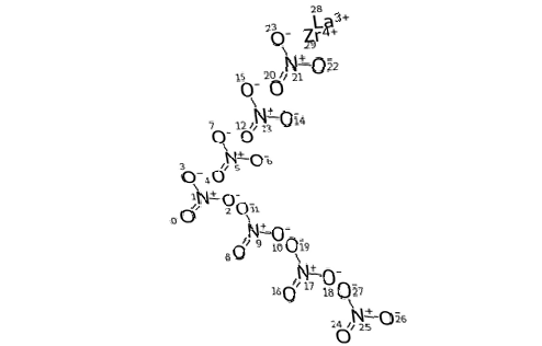 O=[N+]([O-])[O-].O=[N+]([O-])[O-].O=[N+]([O-])[O-].O=[N+]([O-])[O-].O=[N+]([O-])[O-].O=[N+]([O-])[O-].O=[N+]([O-])[O-].[La+3].[Zr+4]